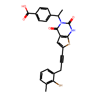 Cc1cccc(CC#Cc2cc3c(=O)n(C(C)c4ccc(C(=O)O)cc4)c(=O)[nH]c3s2)c1S